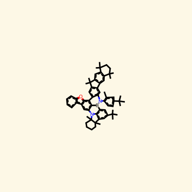 Cc1cc(C(C)(C)C)ccc1N1B2c3cc(C(C)(C)C)cc4c3N(c3cc5c(oc6ccccc65)c(c32)-c2cc3c(cc21)-c1cc2c(cc1C3(C)C)C(C)(C)CCC2(C)C)C1(C)CCCCC41C